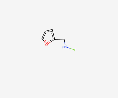 FNCc1ccco1